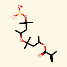 C=C(C)C(=O)OC(C)CC(C)(C)OC(C)CC(C)(C)OP(O)O